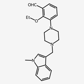 CCOc1c(C=O)cccc1N1CCN(Cc2cn(C)c3ccccc23)CC1